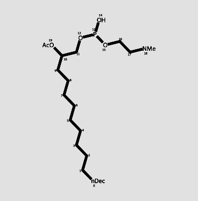 CCCCCCCCCCCCCCCCCCCC(COP(O)OCCNC)OC(C)=O